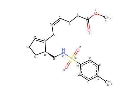 COC(=O)CC/C=C\CC1=CCC[C@@H]1CNS(=O)(=O)c1ccc(C)cc1